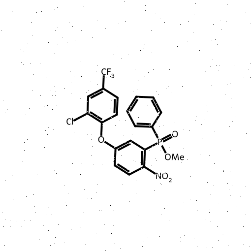 COP(=O)(c1ccccc1)c1cc(Oc2ccc(C(F)(F)F)cc2Cl)ccc1[N+](=O)[O-]